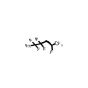 [CH2]CC(F)(F)C(F)(F)C[C@H](F)C(F)(F)F